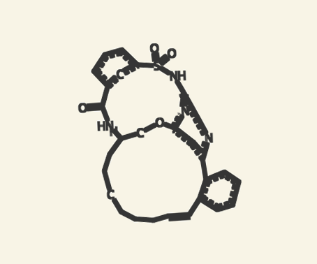 O=C1N[C@@H]2CCCCCC/C=C/c3ccccc3-c3cc(nc(n3)NS(=O)(=O)c3cccc1c3)OC2